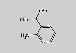 CCCCC(CCCC)c1cccnc1N